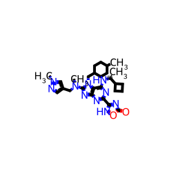 CC1CCC(Cn2c(N(C)Cc3cnn(C)c3)nc3nc(-c4nc(=O)o[nH]4)nc(N[C@H](C)C4CCC4)c32)CC1